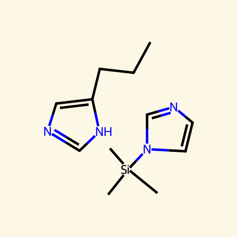 CCCc1cnc[nH]1.C[Si](C)(C)n1ccnc1